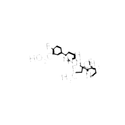 C[C@H](F)C[C@@](C)(CNc1ccc(-c2ccc(F)c(C(=O)O)c2)nn1)c1ncccc1F